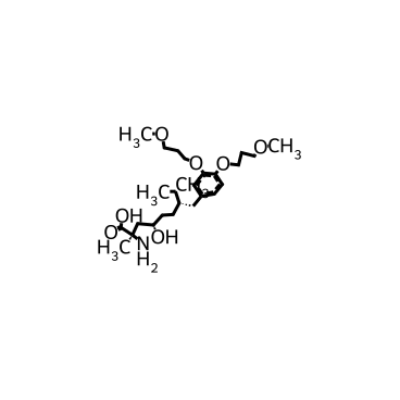 COCCCOc1ccc(C[C@H](CC[C@H](O)C[C@@](C)(N)C(=O)O)C(C)C)cc1OCCCOC